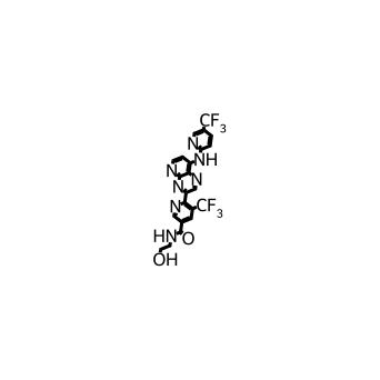 O=C(NCCO)c1cnc(-c2cnc3c(Nc4ccc(C(F)(F)F)cn4)ccnc3n2)c(C(F)(F)F)c1